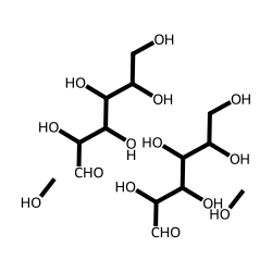 CO.CO.O=CC(O)C(O)C(O)C(O)CO.O=CC(O)C(O)C(O)C(O)CO